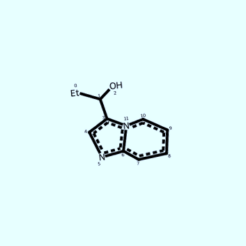 CCC(O)c1cnc2ccccn12